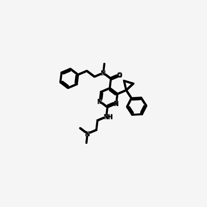 CN(C)CCNc1ncc(C(=O)N(C)CCc2ccccc2)c(C2(c3ccccc3)CC2)n1